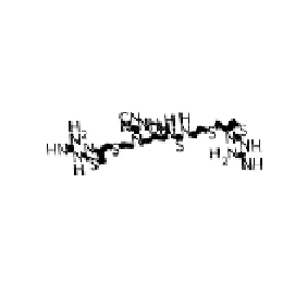 N#CN=C(N)N(CCSCc1csc(NC(=N)N)n1)CC(O)CNC(=S)NCCSCc1csc(NC(=N)N)n1